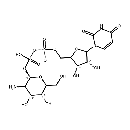 NC1[C@@H](OP(=O)(O)OP(=O)(O)OCC2OC(n3ccc(=O)[nH]c3=O)[C@H](O)[C@@H]2O)OC(CO)[C@H](O)[C@@H]1O